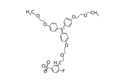 CCOCCOc1ccc([S+](c2ccc(OCCOCC)cc2)c2ccc(OCCOCC)cc2)cc1.O=S(=O)([O-])c1ccc(F)cc1